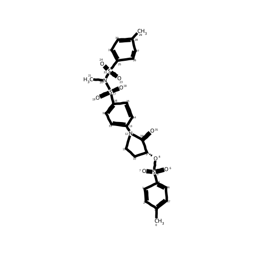 Cc1ccc(S(=O)(=O)O[C@@H]2CCN(c3ccc(S(=O)(=O)N(C)S(=O)(=O)c4ccc(C)cc4)cc3)C2=O)cc1